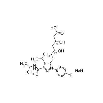 CC(C)NC(=O)c1nn(-c2ccc(F)cc2)c(CC[C@@H](O)C[C@@H](O)CC(=O)O)c1C(C)C.[NaH]